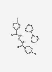 O=C(NONC(=O)c1ccc(I)cc1)c1ccc(I)cc1.c1ccc(-c2ccccc2)cc1